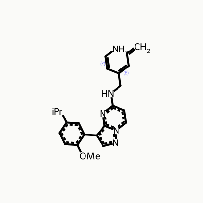 C=C/C=C(\C=C/N)CNc1ccn2ncc(-c3cc(C(C)C)ccc3OC)c2n1